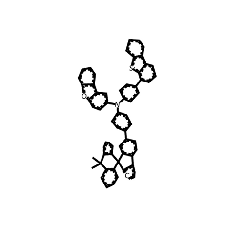 CC1(C)c2ccccc2C2(c3ccccc3-c3ccc(-c4ccc(N(c5ccc(-c6cccc7c6sc6ccccc67)cc5)c5ccc6oc7ccccc7c6c5)cc4)cc32)c2ccccc21